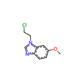 COc1ccc2ncn(CCCl)c2c1